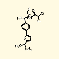 CC(N)c1ccc(-c2ccc([C@H](O)[C@@H](CF)NC(=O)C(Cl)Cl)cc2)s1